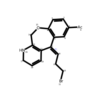 CC(=O)c1ccc2c(c1)/C(=C/CCBr)C1=C(CO2)NCC=C1